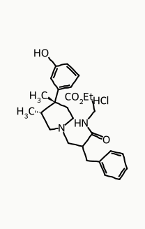 CCOC(=O)CNC(=O)C(Cc1ccccc1)CN1CC[C@@](C)(c2cccc(O)c2)[C@@H](C)C1.Cl